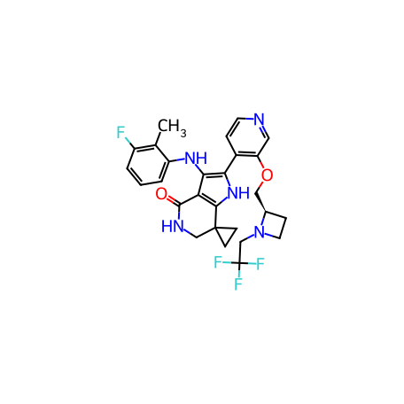 Cc1c(F)cccc1Nc1c(-c2ccncc2OC[C@H]2CCN2CC(F)(F)F)[nH]c2c1C(=O)NCC21CC1